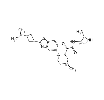 C[C@H]1CC[C@H](c2ccc3sc(C4CC(N(C)C)C4)nc3c2)N(C(=O)C(=O)N[C@@H]2CNC2N)C1